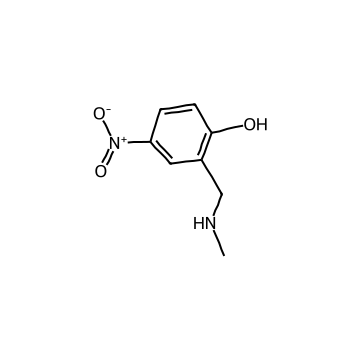 CNCc1cc([N+](=O)[O-])ccc1O